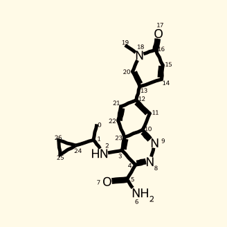 CC(Nc1c(C(N)=O)nnc2cc(-c3ccc(=O)n(C)c3)ccc12)C1CC1